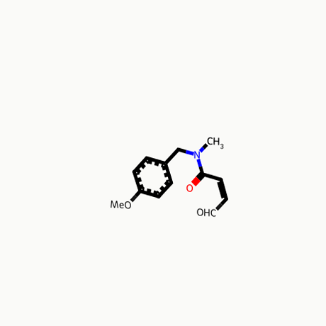 COc1ccc(CN(C)C(=O)/C=C\C=O)cc1